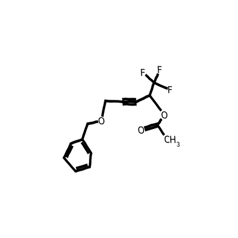 CC(=O)OC(C#CCOCc1ccccc1)C(F)(F)F